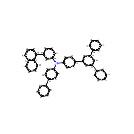 c1ccc(-c2ccc(N(c3ccc(-c4cc(-c5ccccc5)cc(-c5ccccc5)c4)cc3)c3cccc(-c4cccc5ccccc45)c3)cc2)cc1